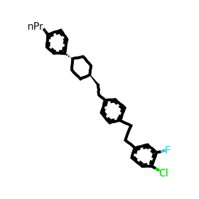 CCCc1ccc([C@H]2CC[C@H](CCc3ccc(CCc4ccc(Cl)c(F)c4)cc3)CC2)cc1